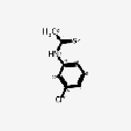 CC(=S)Nc1cccc(Cl)c1